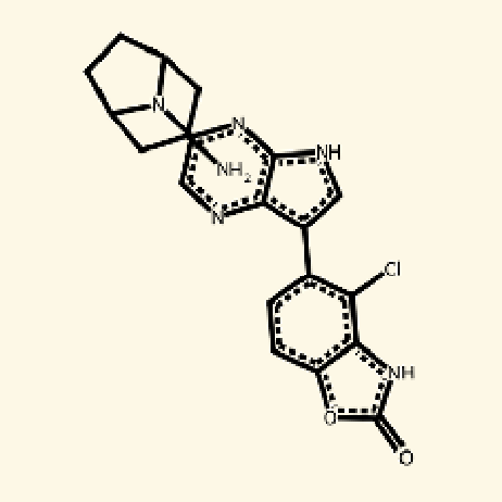 NC1CC2CCC(C1)N2c1cnc2c(-c3ccc4oc(=O)[nH]c4c3Cl)c[nH]c2n1